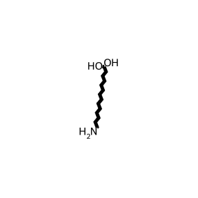 NCCCCCCCCCCCCCC(O)O